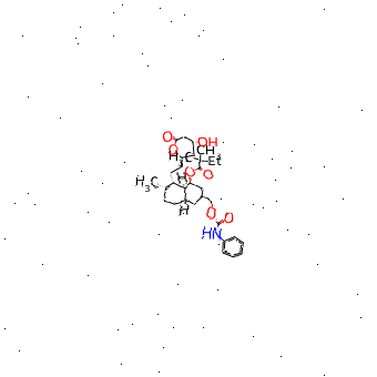 CCC(C)(C)C(=O)O[C@H]1C[C@@H](COC(=O)Nc2ccccc2)C[C@@H]2CC[C@H](C)[C@H](CC[C@@H]3C[C@@H](O)CC(=O)O3)[C@H]21